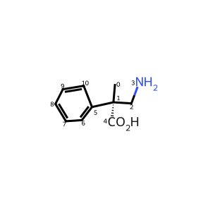 C[C@](CN)(C(=O)O)c1ccccc1